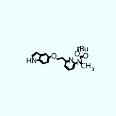 CN(C(=O)OC(C)(C)C)c1cccc(CCOc2ccc3[nH]ccc3c2)n1